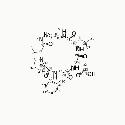 CCC1c2nnc(o2)[C@H](C)NC(=O)[C@H](CC(C)C)NC(=O)[C@H](CC(=O)O)NC(=O)[C@H](Cc2ccccc2)NC(=O)[C@@H]2CCCN12